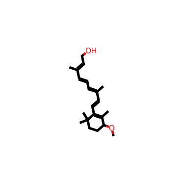 COC1CCC(C)(C)C(C=CC(C)=CC=CC(C)=CCO)=C1C